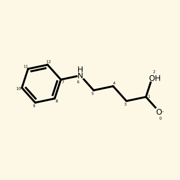 [O]C(O)CCCNc1ccccc1